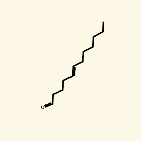 CCCCCCC=CCCC[C]=O